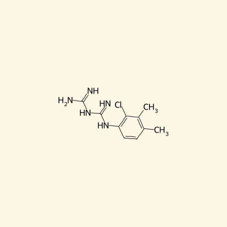 Cc1ccc(NC(=N)NC(=N)N)c(Cl)c1C